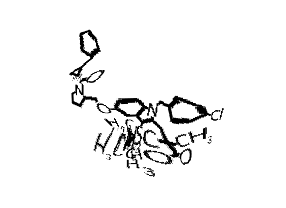 CC(C)(C)Sc1c(CC(C)(C)C(=O)O)n(Cc2ccc(Cl)cc2)c2ccc(OCC3CCCN3C(=O)[C@@H]3CC3c3ccccc3)cc12